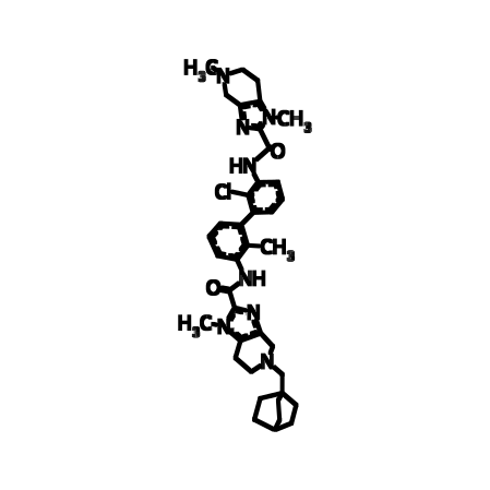 Cc1c(NC(=O)c2nc3c(n2C)CCN(CC24CCC(CC2)CC4)C3)cccc1-c1cccc(NC(=O)c2nc3c(n2C)CCN(C)C3)c1Cl